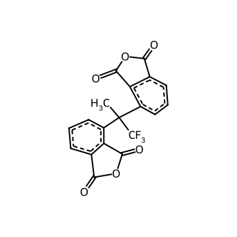 CC(c1cccc2c1C(=O)OC2=O)(c1cccc2c1C(=O)OC2=O)C(F)(F)F